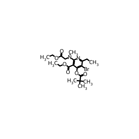 CCOC(=O)CN(C)c1nc(CC)c(Br)c(OC(=O)C(C)(C)C)c1C(=O)OCC